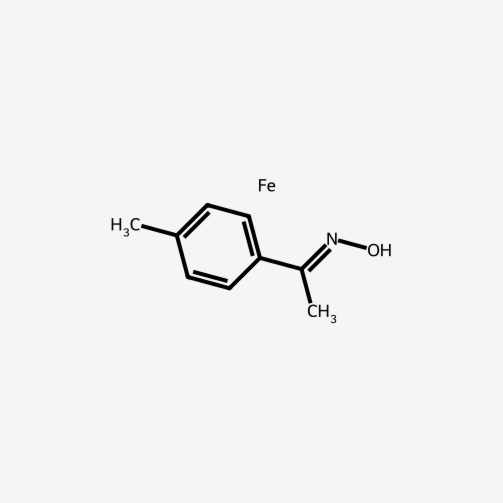 CC(=NO)c1ccc(C)cc1.[Fe]